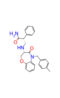 Cc1ccc(CN2C(=O)[C@@H](NC[C@H](C(N)=O)c3ccccc3)COc3ccccc32)cc1